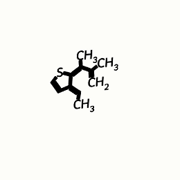 C=C(C)C(C)=c1sccc1=CC